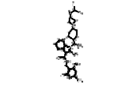 CSc1cc(C)[nH]c(=O)c1CNC(=O)c1c(C)n([C@H](C)C2CCC(N3CC(OC(F)F)C3)CC2)c2ncccc12